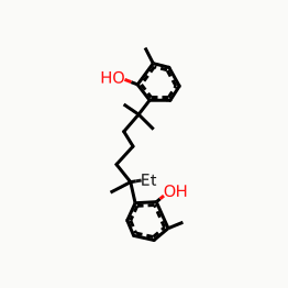 CCC(C)(CCCC(C)(C)c1cccc(C)c1O)c1cccc(C)c1O